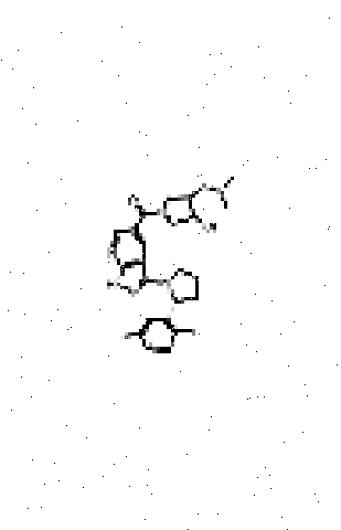 CN(C)CC1CN(C(=O)c2cnc3[nH]nc(N4CCC[C@@H]4c4cc(F)ccc4F)c3c2)CC1O